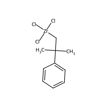 CC(C)([CH2][Zr]([Cl])([Cl])[Cl])c1ccccc1